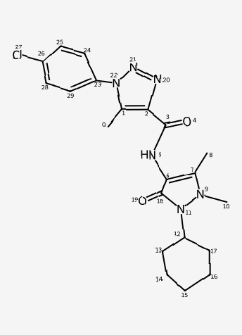 Cc1c(C(=O)Nc2c(C)n(C)n(C3CCCCC3)c2=O)nnn1-c1ccc(Cl)cc1